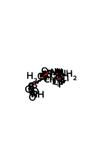 C[C@@H]1CN(C(=O)c2ccc(NC(=O)c3cc(O[C@H](C)c4c(Cl)ccc(F)c4Cl)c(N)nn3)cc2)C[C@H](C)N1CCCCCCSc1cccc2c1CN(C1CCC(=O)NC1=O)C2=O